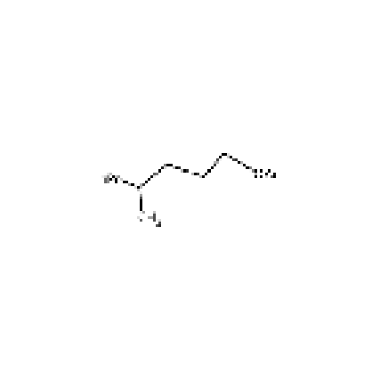 CCCC(C)CCCOC(C)=O